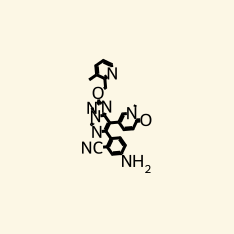 Cc1cccnc1COc1nc2c(-c3ccc(=O)n(C)c3)c(-c3ccc(N)cc3C#N)ncn2n1